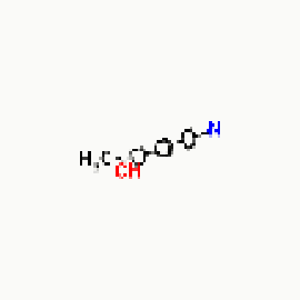 CCC(O)c1ccc(-c2ccc(-c3ccc(C#N)cc3)cc2)cc1